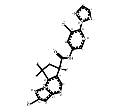 CC1(C)C[C@](C)(C(=O)Nc2cnc(-n3nccn3)c(Cl)c2)c2cnc3cc(Cl)nn3c21